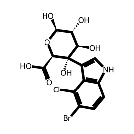 O=C(O)[C@H]1O[C@@H](O)[C@H](O)[C@@H](O)[C@@]1(O)c1c[nH]c2ccc(Br)c(Cl)c12